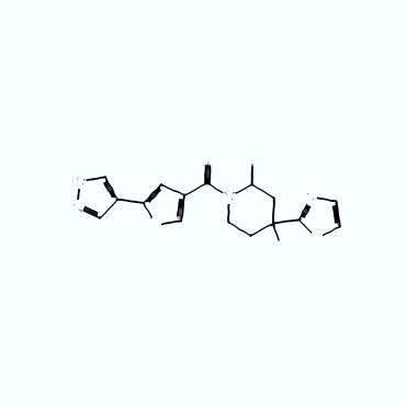 CCC1CC(F)(c2nccs2)CCN1C(=O)c1csc(-c2cn[nH]c2)c1